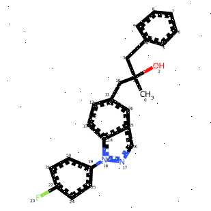 CC(O)(Cc1ccccc1)Cc1ccc2c(cnn2-c2ccc(F)cc2)c1